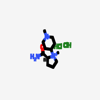 CN1CCC([N+]2(C)CCC[C@H]2C(N)=O)CC1.Cl.Cl